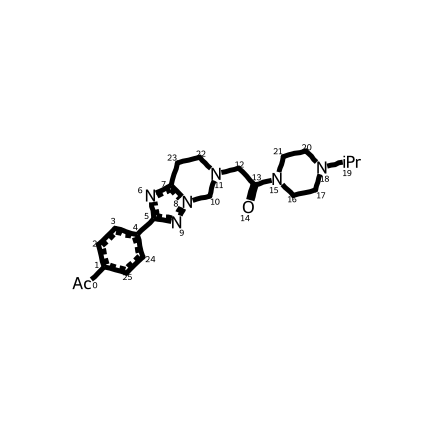 CC(=O)c1ccc(-c2nc3n(n2)CN(CC(=O)N2CCN(C(C)C)CC2)CC3)cc1